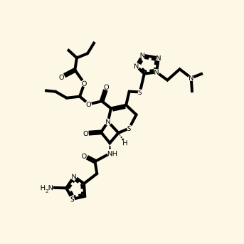 CCCC(OC(=O)C1=C(CSc2nnnn2CCN(C)C)CS[C@H]2[C@H](NC(=O)Cc3csc(N)n3)C(=O)N12)OC(=O)C(C)CC